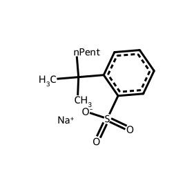 CCCCCC(C)(C)c1ccccc1S(=O)(=O)[O-].[Na+]